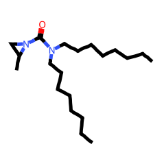 CCCCCCCCN(CCCCCCCC)C(=O)N1CC1C